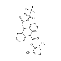 Cc1cccc(Cl)c1OC(=O)C1c2ccccc2N(CC(=O)OS(=O)(=O)C(F)(F)F)c2ccccc21